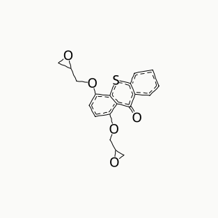 O=c1c2ccccc2sc2c(OCC3CO3)ccc(OCC3CO3)c12